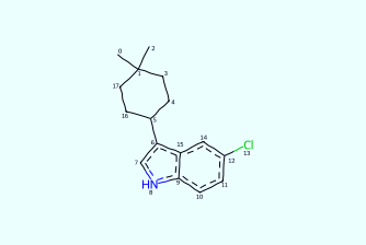 CC1(C)CCC(c2c[nH]c3ccc(Cl)cc23)CC1